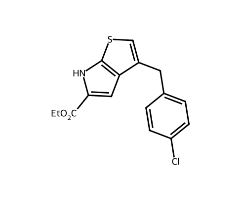 CCOC(=O)c1cc2c(Cc3ccc(Cl)cc3)csc2[nH]1